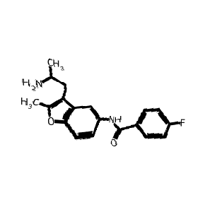 Cc1oc2ccc(NC(=O)c3ccc(F)cc3)cc2c1CC(C)N